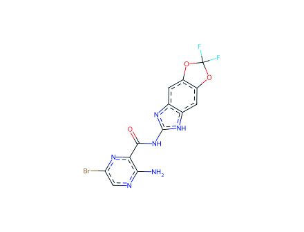 Nc1ncc(Br)nc1C(=O)Nc1nc2cc3c(cc2[nH]1)OC(F)(F)O3